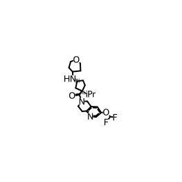 CC(C)[C@]1(C(=O)N2CCc3ncc(OC(F)F)cc3C2)CC[C@@H](NC2CCOCC2)C1